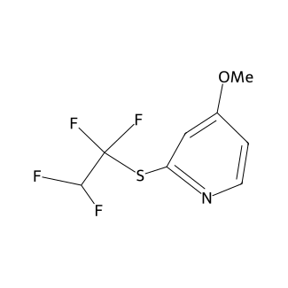 COc1ccnc(SC(F)(F)C(F)F)c1